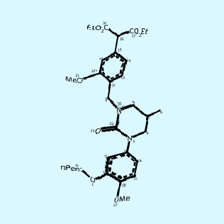 CCCCCOc1cc(N2CC(C)CN(Cc3ccc(C(C(=O)OCC)C(=O)OCC)cc3OC)C2=O)ccc1OC